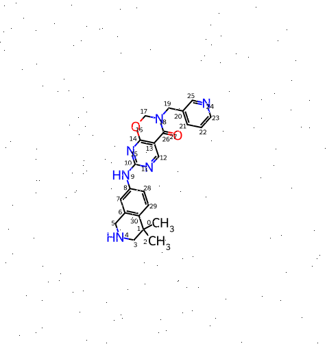 CC1(C)CNCc2cc(Nc3ncc4c(n3)OCN(Cc3cccnc3)C4=O)ccc21